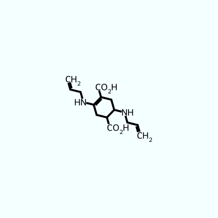 C=CCNC1=C(C(=O)O)CC(NCC=C)C(C(=O)O)C1